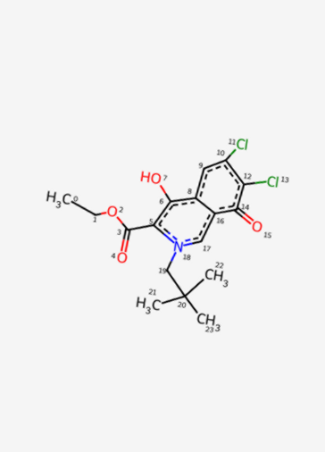 CCOC(=O)c1c(O)c2cc(Cl)c(Cl)c(=O)c-2cn1CC(C)(C)C